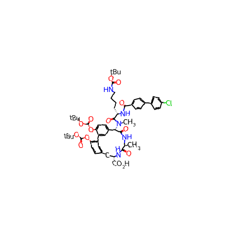 C[C@@H]1NC(=O)[C@@H](N(C)C(=O)[C@H](CCCCNC(=O)OC(C)(C)C)NC(=O)c2ccc(-c3ccc(Cl)cc3)cc2)c2ccc(OC(=O)OC(C)(C)C)c(c2)-c2cc(ccc2OC(=O)OC(C)(C)C)C[C@@H](C(=O)O)NC1=O